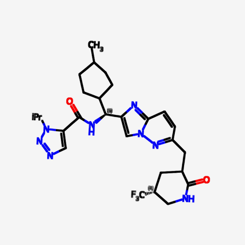 CC1CCC([C@H](NC(=O)c2cnnn2C(C)C)c2cn3nc(CC4C[C@@H](C(F)(F)F)CNC4=O)ccc3n2)CC1